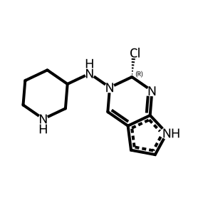 Cl[C@@H]1N=c2[nH]ccc2=CN1NC1CCCNC1